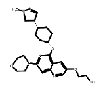 CN1CC([C@H]2CC[C@@H](Oc3nc(N4CCOCC4)cc4ncc(OCCO)cc34)CC2)C=N1